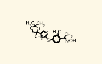 C/C(=N\O)c1ccc(Sc2cc(C3(C)COC(C)(C)O3)cs2)cc1C